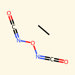 CC.O=C=NON=C=O